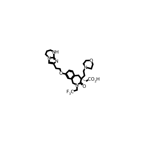 O=C(O)C[C@@]1(CCN2CCOCC2)Cc2ccc(OCCc3cn4c(n3)NCCC4)cc2CN(CC(F)(F)F)C1=O